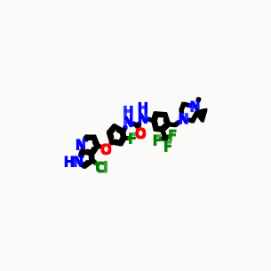 CN1CCN(Cc2ccc(NC(=O)Nc3ccc(Oc4ccnc5[nH]cc(Cl)c45)cc3F)cc2C(F)(F)F)CC12CC2